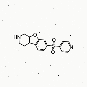 O=S(=O)(c1ccncc1)c1ccc2c(c1)OC1CNCCC21